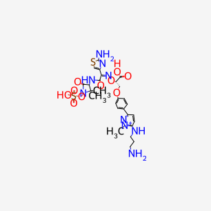 C[n+]1nc(-c2ccc(OC[C@H](O/N=C(\C(=O)N[C@@H]3C(=O)N(OS(=O)(=O)O)C3(C)C)c3csc(N)n3)C(=O)O)cc2)ccc1NCCCN